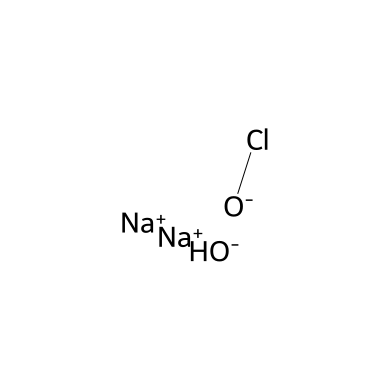 [Na+].[Na+].[O-]Cl.[OH-]